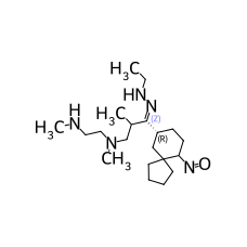 CCN/N=C(\C(C)CN(C)CCNC)[C@@H]1CCC(N=O)C2(CCCC2)C1